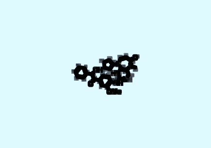 COc1cc(C(=O)C(O)c2ccccc2)ccc1NC1NCC2=C(N1)N(C1CCCC1)C=CC(=O)N2C